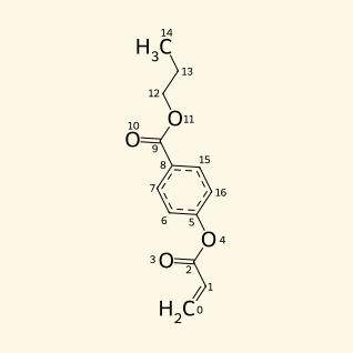 C=CC(=O)Oc1ccc(C(=O)OCCC)cc1